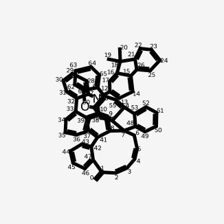 C=C1/C=C\C=C/CC2(c3cc(N(c4ccc5c(c4)C(C)(C)c4ccccc4-5)c4ccccc4-c4ccccc4)ccc3-c3ccccc31)c1ccccc1-c1cc3c(cc12)oc1ccccc13